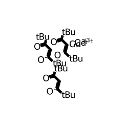 CC(C)(C)C(=O)/C=C(\[O-])C(C)(C)C.CC(C)(C)C(=O)/C=C(\[O-])C(C)(C)C.CC(C)(C)C(=O)/C=C(\[O-])C(C)(C)C.[Gd+3].[Gd+3]